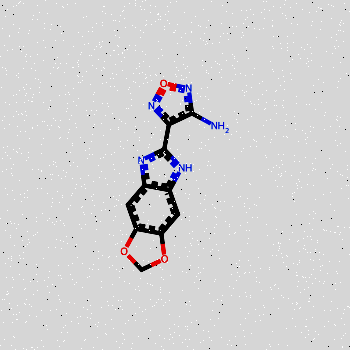 Nc1nonc1-c1nc2cc3c(cc2[nH]1)OCO3